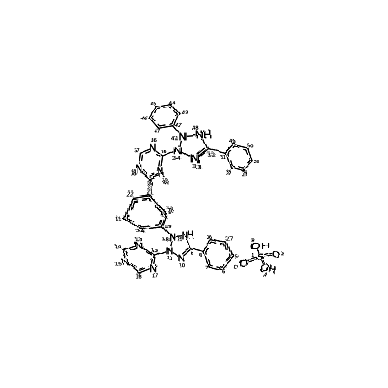 O=S(=O)(O)O.c1ccc(C2=NN(c3ncncn3)N(c3ccccc3)N2)cc1.c1ccc(C2=NN(c3ncncn3)N(c3ccccc3)N2)cc1